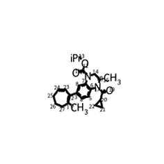 CC1=C(c2ccc3c(c2)N(C(=O)OC(C)C)C[C@H](C)N3C(=O)C2CC2)C=CCCC1